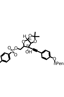 CCCCCOc1ccc(C#C[C@@]2(O)C(COS(=O)(=O)c3ccc(C)cc3)O[C@@H]3OC(C)(C)OC32)cc1